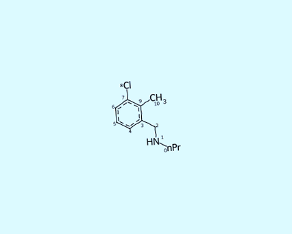 CCCNCc1cccc(Cl)c1C